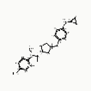 [O-][S@+](N[C@@H]1CCN(Cc2ccc(OC3CC3)cc2)C1)c1ccc(Cl)cn1